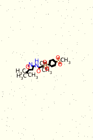 CC(C)(C)C1CC(NC(=O)C(C)(C)S(=O)(=O)c2ccc(S(C)(=O)=O)cc2)=NO1